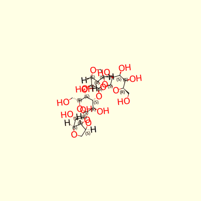 OC[C@H]1O[C@@H](O[C@H]2[C@H]3OC[C@@H]2O[C@@H](O[C@H]2[C@@H](O)[C@@H](CO)O[C@@H](O[C@H]4[C@H]5OC[C@@H]4O[C@@H](O)[C@H]5O)[C@@H]2O)[C@H]3O)[C@H](O)[C@@H](O)[C@H]1O